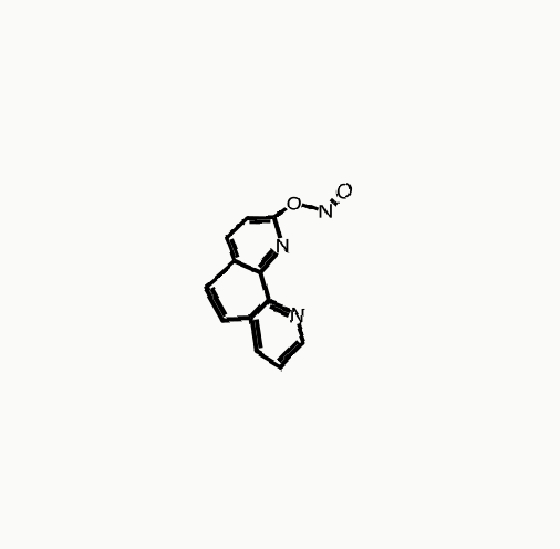 O=NOc1ccc2ccc3cccnc3c2n1